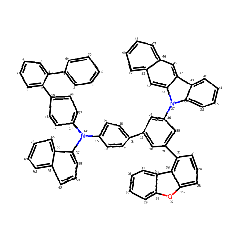 c1ccc(-c2ccccc2-c2ccc(N(c3ccc(-c4cc(-c5cccc6oc7ccccc7c56)cc(-n5c6ccccc6c6cc7ccccc7cc65)c4)cc3)c3cccc4ccccc34)cc2)cc1